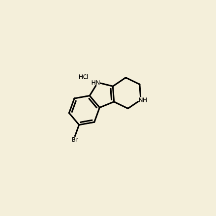 Brc1ccc2[nH]c3c(c2c1)CNCC3.Cl